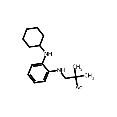 CC(=O)C(C)(C)CNc1ccccc1NC1CCCCC1